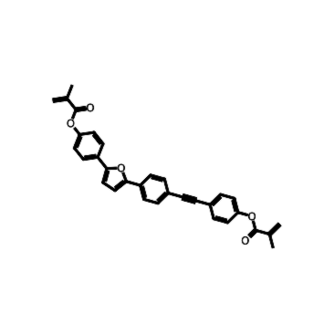 C=C(C)C(=O)Oc1ccc(C#Cc2ccc(-c3ccc(-c4ccc(OC(=O)C(=C)C)cc4)o3)cc2)cc1